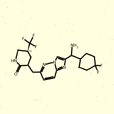 NC(c1cn2nc(CC3C[C@H](C(F)(F)F)CNC3=O)ccc2n1)C1CCC(F)(F)CC1